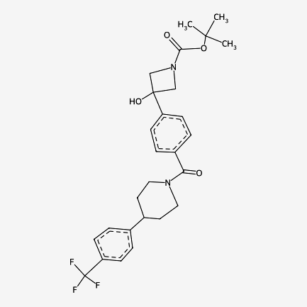 CC(C)(C)OC(=O)N1CC(O)(c2ccc(C(=O)N3CCC(c4ccc(C(F)(F)F)cc4)CC3)cc2)C1